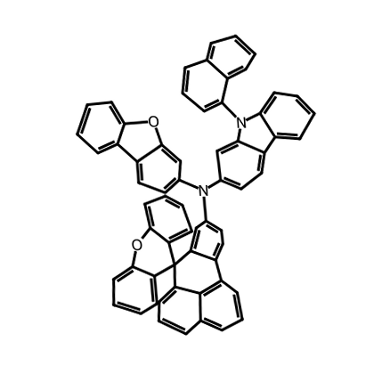 c1ccc2c(c1)Oc1ccccc1C21c2cc(N(c3ccc4c(c3)oc3ccccc34)c3ccc4c5ccccc5n(-c5cccc6ccccc56)c4c3)ccc2-c2cccc3cccc1c23